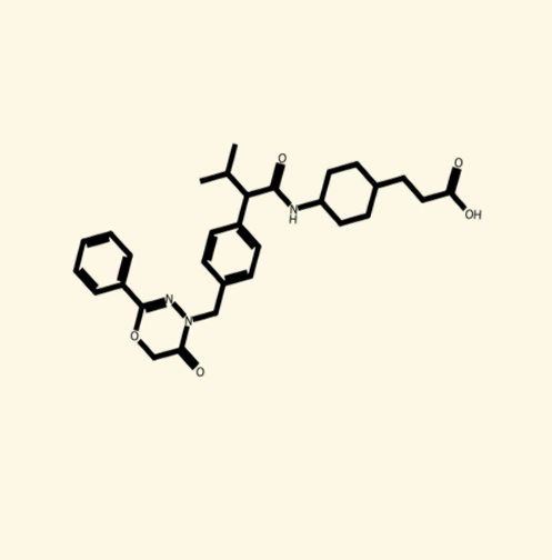 CC(C)C(C(=O)NC1CCC(CCC(=O)O)CC1)c1ccc(CN2N=C(c3ccccc3)OCC2=O)cc1